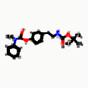 CN(C(=O)Oc1ccc(CCNC(=O)OC(C)(C)C)cc1)c1ccccc1